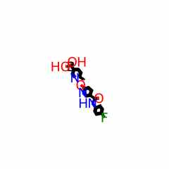 O=C(Nc1ccc(F)cc1)c1ccc(OCc2ccc(B(O)O)cn2)nc1